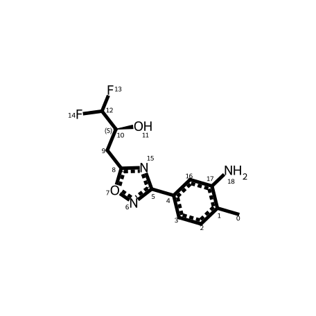 Cc1ccc(-c2noc(C[C@H](O)C(F)F)n2)cc1N